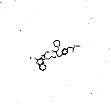 CCCCc1nc2c(N)nc3ccccc3c2n1CCCN(Cc1ccc(CC(=O)OC)cc1)C(=O)CN1CCCCC1